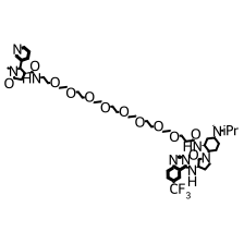 CC(C)N(C)[C@@H]1CCC(N2CC[C@H](Nc3ncnc4ccc(C(F)(F)F)cc34)C2=O)[C@H](NC(=O)CCOCCOCCOCCOCCOCCOCCOCCOCCNC(=O)[C@H]2CC(=O)N(C)C2c2cccnc2)C1